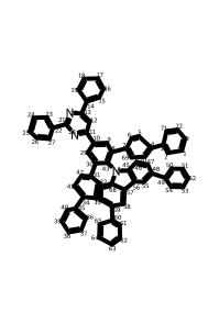 c1ccc(-c2ccc(-c3cc(-c4cc(-c5ccccc5)nc(-c5ccccc5)n4)cc(-c4ccc(-c5ccccc5)cc4)c3-n3c4ccc(-c5ccccc5)cc4c4cc(-c5ccccc5)ccc43)cc2)cc1